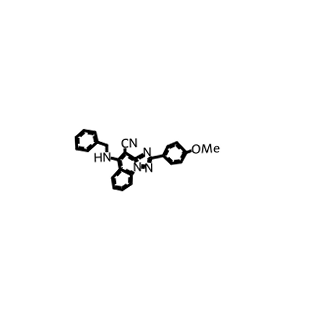 COc1ccc(-c2nc3c(C#N)c(NCc4ccccc4)c4ccccc4n3n2)cc1